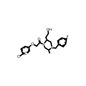 CC1CN(C(=O)COc2ccc(Cl)cc2)C(CCO)CN1Cc1ccc(F)cc1